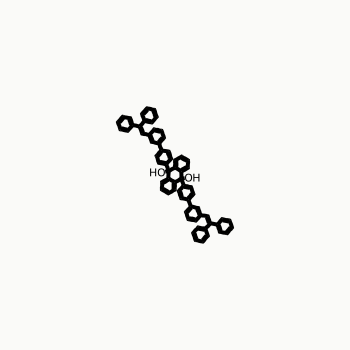 OC1(c2ccc(-c3cccc(C=C(c4ccccc4)c4ccccc4)c3)cc2)c2ccccc2C(O)(c2ccc(-c3cccc(C=C(c4ccccc4)c4ccccc4)c3)cc2)c2ccccc21